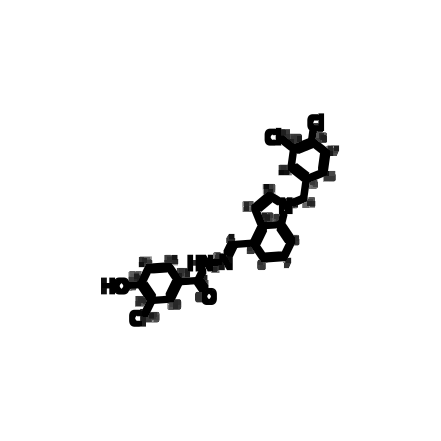 O=C(N/N=C/c1cccc2c1ccn2Cc1ccc(Cl)c(Cl)c1)c1ccc(O)c(Cl)c1